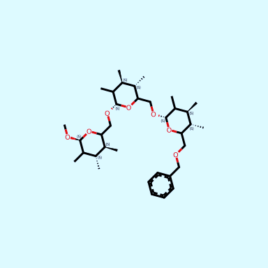 CO[C@H]1OC(CO[C@H]2OC(CO[C@H]3OC(COCc4ccccc4)[C@@H](C)[C@H](C)C3C)[C@@H](C)[C@H](C)C2C)[C@@H](C)[C@H](C)C1C